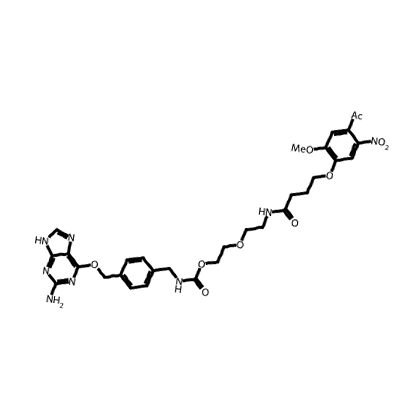 COc1cc(C(C)=O)c([N+](=O)[O-])cc1OCCCC(=O)NCCOCCOC(=O)NCc1ccc(COc2nc(N)nc3[nH]cnc23)cc1